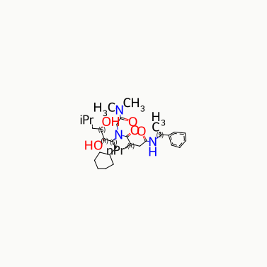 CCC[C@H](CC(=O)N[C@@H](C)c1ccccc1)C(=O)N(CC(=O)N(C)C)[C@@H](CC1CCCCC1)[C@@H](O)[C@@H](O)CC(C)C